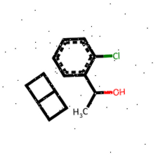 C1CC2CCC12.CC(O)c1ccccc1Cl